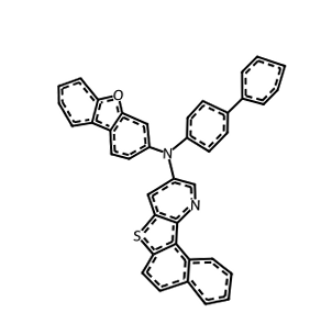 c1ccc(-c2ccc(N(c3ccc4c(c3)oc3ccccc34)c3cnc4c(c3)sc3ccc5ccccc5c34)cc2)cc1